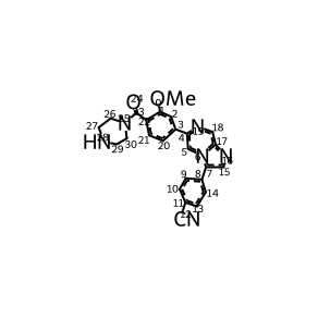 COc1cc(-c2cn3c(-c4ccc(C#N)cc4)cnc3cn2)ccc1C(=O)N1CCNCC1